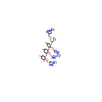 CC/C=C(\COCc1cn(CC)nn1)Cc1cc(C)cc(Cc2cc(C)cc(Cc3cc(C)cc(C)c3OCc3cn(CC)nn3)c2OCc2cn(CC)nn2)c1OCc1cn(CC)nn1